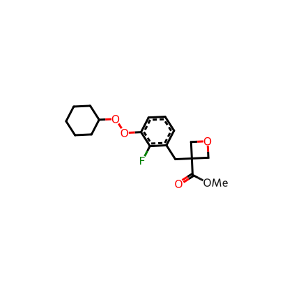 COC(=O)C1(Cc2cccc(OOC3CCCCC3)c2F)COC1